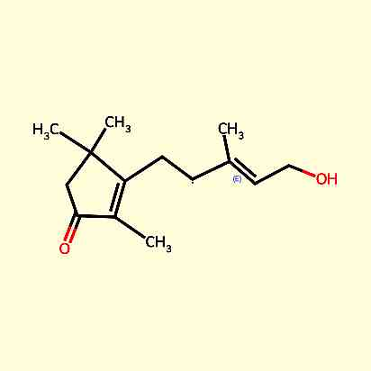 CC1=C(C[CH]/C(C)=C/CO)C(C)(C)CC1=O